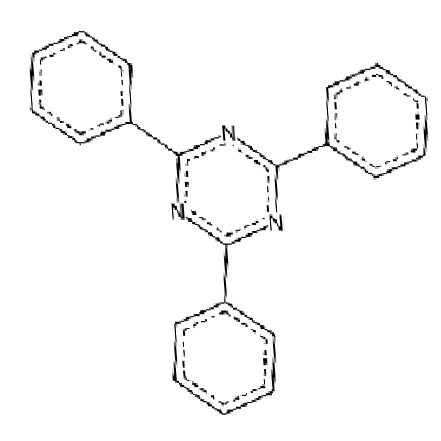 c1ccc(-c2nc(-c3ccccc3)nc(-c3ccccc3)n2)cc1